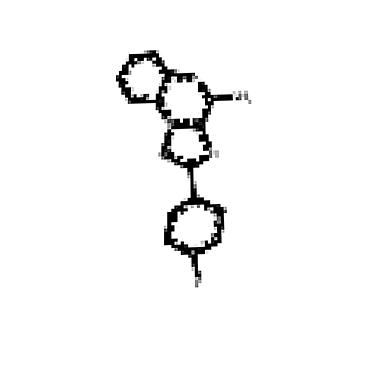 Nc1nc2ccccc2n2cc(-c3ccc(F)cc3)nc12